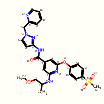 COCC(C)Nc1cc(C(=O)Nc2ccn(Cc3ccccn3)n2)cc(Oc2ccc(S(C)(=O)=O)cc2)n1